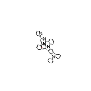 c1ccc(-c2cc(-c3ccccn3)nc(-c3ccccc3-n3c4ccccc4c4cc5c(cc43)c3ccccc3n5-c3ccccc3)n2)cc1